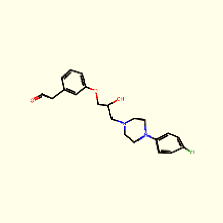 O=CCc1cccc(OCC(O)CN2CCN(c3ccc(Cl)cc3)CC2)c1